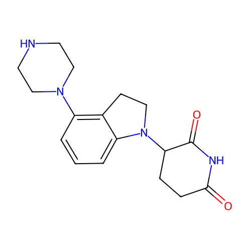 O=C1CCC(N2CCc3c(N4CCNCC4)cccc32)C(=O)N1